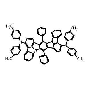 Cc1ccc(N(c2ccc(C)cc2)c2ccc3c4c(-c5ccccc5)c5c(c(-c6ccccc6)c4n4c6ccccc6c2c34)c2ccc(N(c3ccc(C)cc3)c3ccc(C)cc3)c3c4ccccc4n5c23)cc1